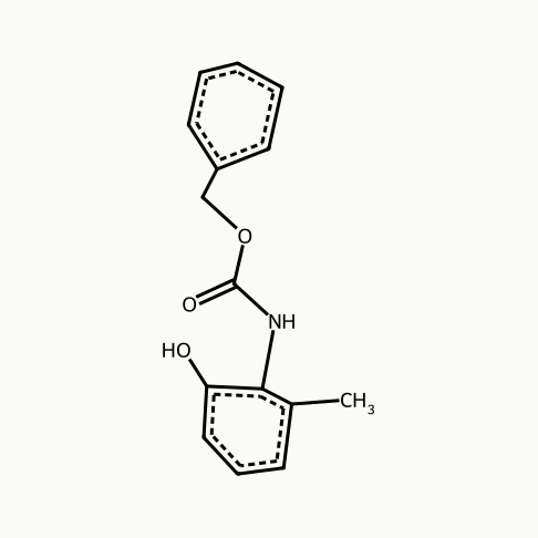 Cc1cccc(O)c1NC(=O)OCc1ccccc1